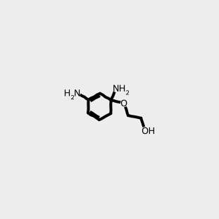 NC1=CC(N)(OCCO)CC=C1